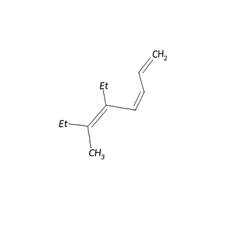 C=C/C=C\C(CC)=C(/C)CC